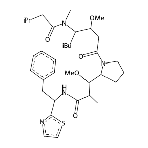 CCC(C)C(C(CC(=O)N1CCCC1C(OC)C(C)C(=O)NC(Cc1ccccc1)c1nccs1)OC)N(C)C(=O)CC(C)C